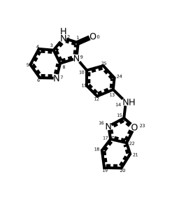 O=c1[nH]c2cccnc2n1-c1ccc(Nc2nc3ccccc3o2)cc1